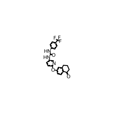 O=C(Nc1ccc(C(F)(F)F)cc1)Nc1ccc(Oc2ccc3c(c2)CCCC3=O)nc1